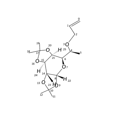 C=CCO[C@@H](C)[C@H]1O[C@@H]2OC(C)(C)O[C@@H]2[C@H]2OC(C)(C)O[C@H]21